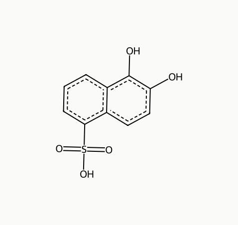 O=S(=O)(O)c1cccc2c(O)c(O)ccc12